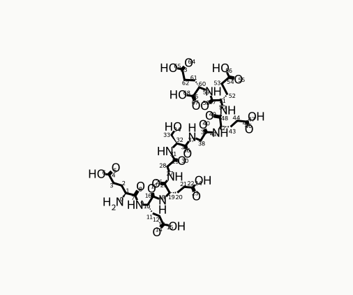 N[C@@H](CCC(=O)O)C(=O)N[C@@H](CCC(=O)O)C(=O)N[C@@H](CCC(=O)O)C(=O)NCC(=O)N[C@@H](CO)C(=O)NCC(=O)N[C@@H](CCC(=O)O)C(=O)N[C@@H](CCC(=O)O)C(=O)N[C@@H](CCC(=O)O)C(=O)O